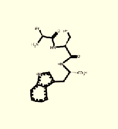 CC(C)C[C@H](NC(=O)[C@@H](N)C(C)C)C(=O)N[C@@H](Cc1c[nH]c2ccccc12)C(=O)O